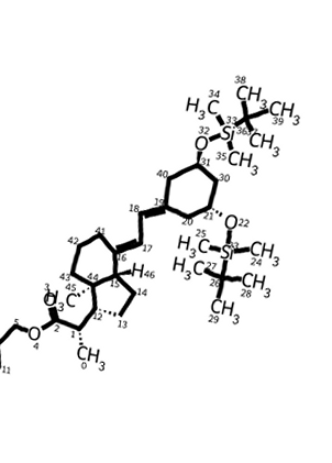 C[C@H](C(=O)OCC1CCCCC1)[C@H]1CC[C@H]2/C(=C/C=C3C[C@@H](O[Si](C)(C)C(C)(C)C)C[C@H](O[Si](C)(C)C(C)(C)C)C3)CCC[C@]12C